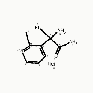 CCC(N)(C(N)=O)c1cccnc1C.Cl